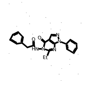 CCc1nc2c(cnn2-c2ccccc2)c(=O)n1NC(=O)Cc1ccccc1